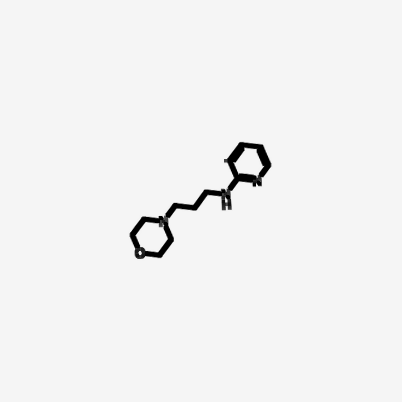 [c]1cccnc1NCCCN1CCOCC1